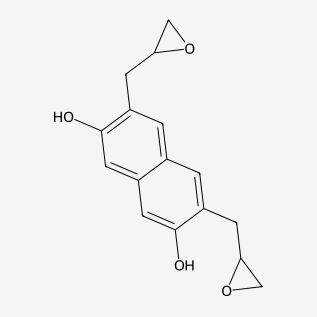 Oc1cc2cc(O)c(CC3CO3)cc2cc1CC1CO1